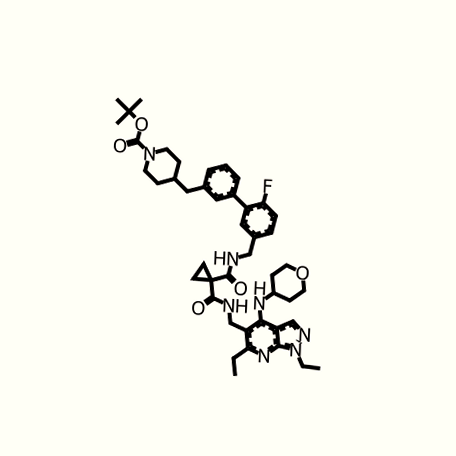 CCc1nc2c(cnn2CC)c(NC2CCOCC2)c1CNC(=O)C1(C(=O)NCc2ccc(F)c(-c3cccc(CC4CCN(C(=O)OC(C)(C)C)CC4)c3)c2)CC1